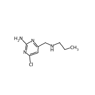 CCCNCc1cc(Cl)nc(N)n1